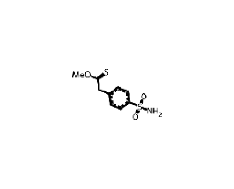 COC(=S)Cc1ccc(S(N)(=O)=O)cc1